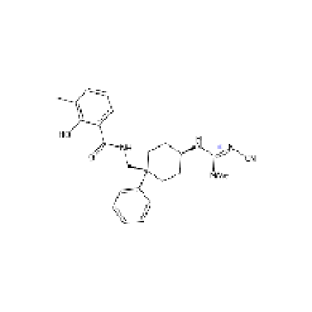 CN/C(=N\C#N)N[C@H]1CC[C@](CNC(=O)c2cccc(C)c2O)(c2ccccc2)CC1